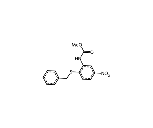 COC(=O)Nc1cc([N+](=O)[O-])ccc1SCc1ccccc1